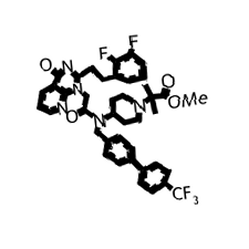 COC(=O)C(C)(C)N1CCC(N(Cc2ccc(-c3ccc(C(F)(F)F)cc3)cc2)C(=O)Cn2c(CCc3cccc(F)c3F)nc(=O)c3cccnc32)CC1